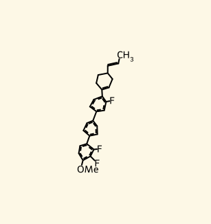 C/C=C/C1CC=C(c2ccc(-c3ccc(-c4ccc(OC)c(F)c4F)cc3)cc2F)CC1